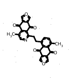 Cc1ccc(CCc2ncc(C)c3c2C(=O)c2cocc2C3=O)c2c1C(=O)c1cocc1C2=O